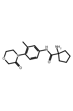 Cc1cc(NC(=O)C2(N)CCCC2)ccc1N1CCOCC1=O